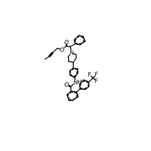 CC#CCOC(=O)C(c1ccccc1)N1CCC(c2ccc(NC(=O)c3ccccc3-c3ccc(C(F)(F)F)cc3)cc2)CC1